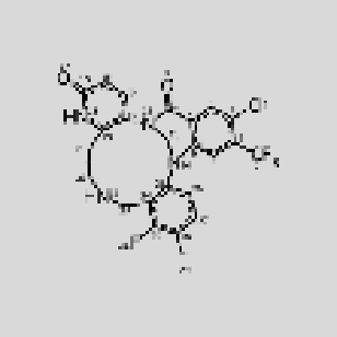 O=C1c2cc(Cl)c(C(F)(F)F)cc2N2CN1c1ccc(=O)[nH]c1CCNCc1c2ccc(F)c1F